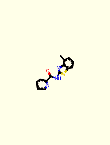 Cc1cccc2sc(NC(=O)c3ccccn3)nc12